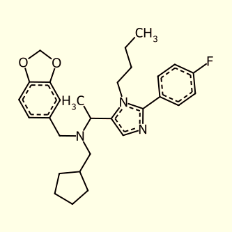 CCCCn1c(C(C)N(Cc2ccc3c(c2)OCO3)CC2CCCC2)cnc1-c1ccc(F)cc1